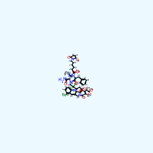 CC[C@@]1(OC(=O)CCC(F)(F)CN(C(=O)[C@H](Cc2ccccc2)NC(=O)CCCCCN2C(=O)C=CC2=O)[C@@H](CC(C)C)C(N)=O)C(=O)OCc2c1cc1n(c2=O)Cc2cc3c(Br)cccc3nc2-1